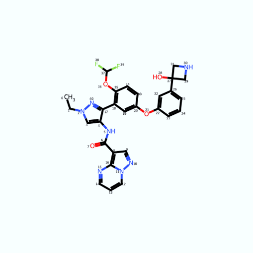 CCn1cc(NC(=O)c2cnn3cccnc23)c(-c2cc(Oc3cccc(C4(O)CNC4)c3)ccc2OC(F)F)n1